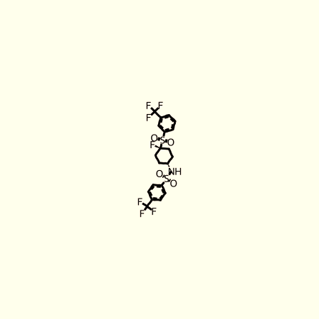 O=S(=O)(N[C@H]1CC[C@@](F)(S(=O)(=O)c2cccc(C(F)(F)F)c2)CC1)c1ccc(C(F)(F)F)cc1